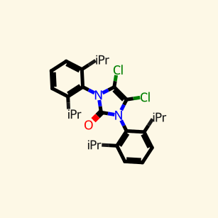 CC(C)c1cccc(C(C)C)c1-n1c(Cl)c(Cl)n(-c2c(C(C)C)cccc2C(C)C)c1=O